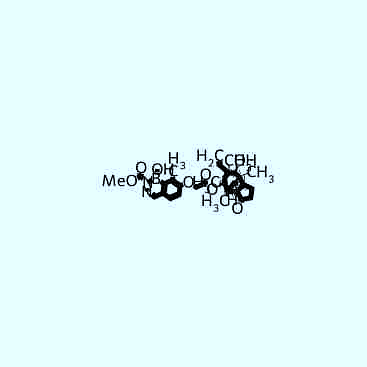 C=C[C@]1(C)C[C@@H](OC(=O)COc2ccc3c(c2C)B(O)N(C(=O)OC)N=C3)[C@]2(C)[C@H](C)CC[C@]3(CCC(=O)[C@H]32)[C@@H](C)[C@@H]1O